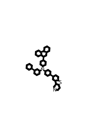 c1ccc(-c2cccc(N(c3ccc(-c4ccc5sc6ccncc6c5c4)cc3)c3ccc(-c4cc5ccccc5c5ccccc45)cc3)c2)cc1